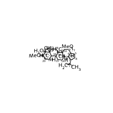 C=C(C)[C@@H]1CC[C@]2(COC)CC[C@]3(C)[C@H](CC[C@@H]4[C@@]5(C)CC[C@H](OC)C(C)(C)[C@@H]5CC[C@]43C)[C@@H]12